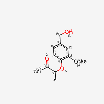 CCCC(=O)C(C)Oc1ccc(CO)cc1OC